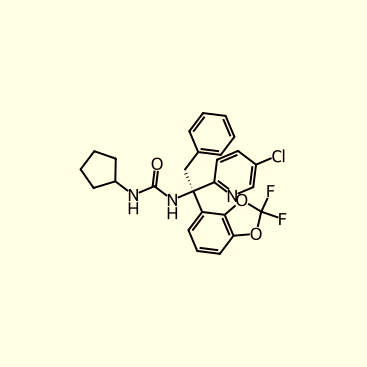 O=C(NC1CCCC1)N[C@@](Cc1ccccc1)(c1ccc(Cl)cn1)c1cccc2c1OC(F)(F)O2